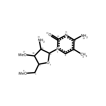 COCC1OC(n2cc(C)c(N)nc2=O)C(N)C1OC